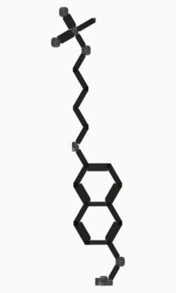 CCCCOc1ccc2cc(SCCCCOS(C)(=O)=O)ccc2c1